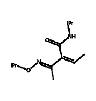 C/C=C(C(=O)NC(C)C)/C(C)=N/OC(C)C